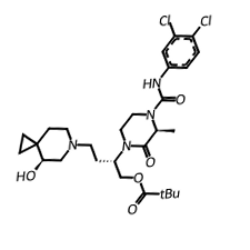 C[C@H]1C(=O)N([C@@H](CCN2CCC3(CC3)[C@H](O)C2)COC(=O)C(C)(C)C)CCN1C(=O)Nc1ccc(Cl)c(Cl)c1